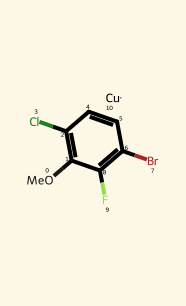 COc1c(Cl)ccc(Br)c1F.[Cu]